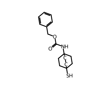 O=C(NC12CCC(S)(CC1)CC2)OCc1ccccc1